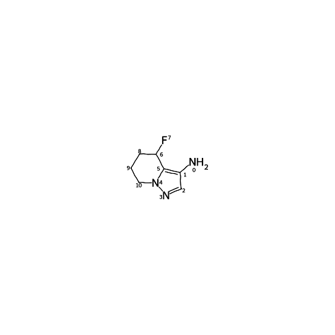 Nc1cnn2c1C(F)CCC2